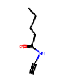 C#CNC(=O)CCCC